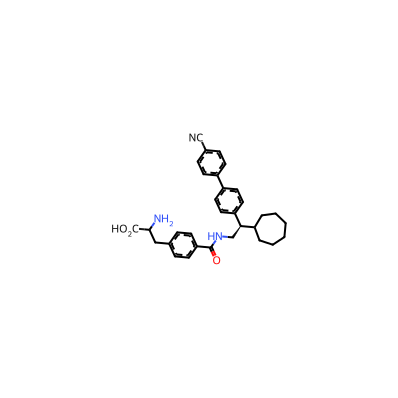 N#Cc1ccc(-c2ccc([C@H](CNC(=O)c3ccc(CC(N)C(=O)O)cc3)C3CCCCCC3)cc2)cc1